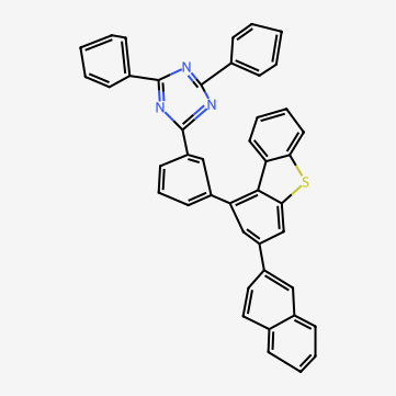 c1ccc(-c2nc(-c3ccccc3)nc(-c3cccc(-c4cc(-c5ccc6ccccc6c5)cc5sc6ccccc6c45)c3)n2)cc1